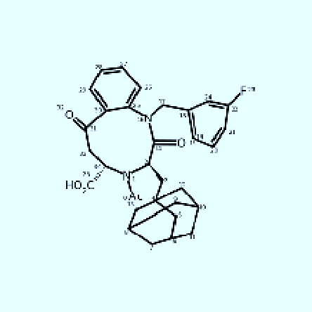 CC(=O)N1[C@H](CC23CC4CC(CC(C4)C2)C3)C(=O)N(Cc2cccc(F)c2)c2ccccc2C(=O)C[C@H]1C(=O)O